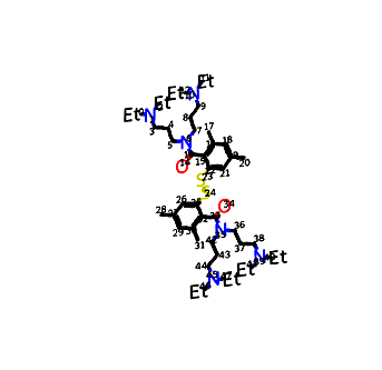 CCN(CC)CCCN(CCCN(CC)CC)C(=O)c1c(C)cc(C)cc1SSc1cc(C)cc(C)c1C(=O)N(CCCN(CC)CC)CCCN(CC)CC